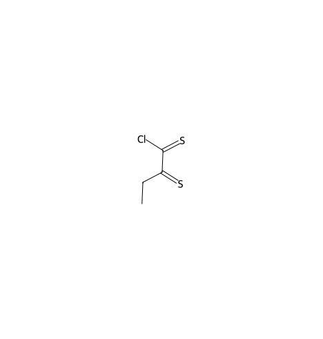 CCC(=S)C(=S)Cl